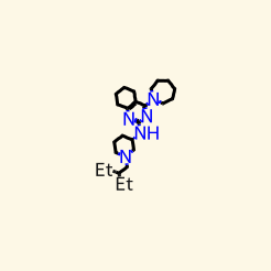 CCC(CC)CN1CCC[C@@H](Nc2nc3c(c(N4CCCCCC4)n2)CCCC3)C1